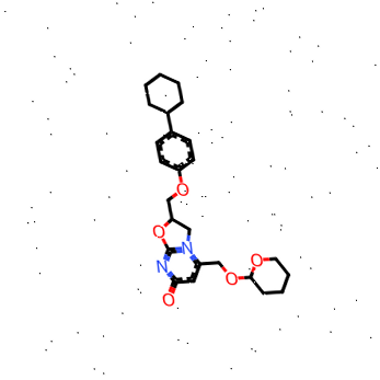 O=c1cc(COC2CCCCO2)n2c(n1)OC(COc1ccc(C3CCCCC3)cc1)C2